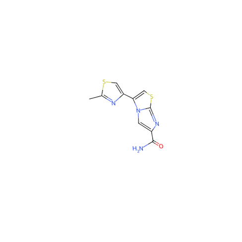 Cc1nc(-c2csc3nc(C(N)=O)cn23)cs1